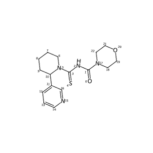 O=C(NC(=S)N1CCCCC1c1cccnc1)N1CCOCC1